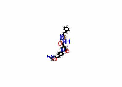 O=C(Nc1nnc(CCC2CCCCC2)s1)C1CC(=O)N(c2ccc(CC3CNCCO3)cc2)C1